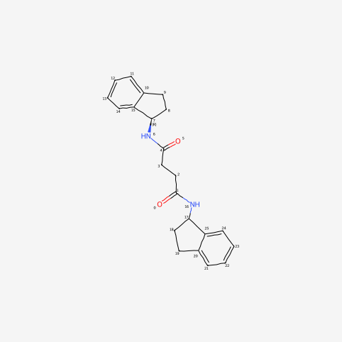 O=C(CCC(=O)N[C@@H]1CCc2ccccc21)NC1CCc2ccccc21